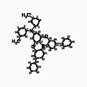 Cc1cccc(N(c2cccc(C)c2)c2cc3c4c(c2)Oc2cc(-c5ccccc5)ccc2B4c2ccc(-c4ccccc4)cc2O3)c1